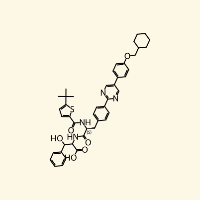 CC(C)(C)c1ccc(C(=O)N[C@@H](Cc2ccc(-c3ncc(-c4ccc(OCC5CCCCC5)cc4)cn3)cc2)C(=O)NC(C(=O)O)C(O)c2ccccc2)s1